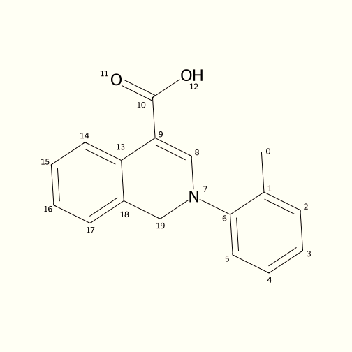 Cc1ccccc1N1C=C(C(=O)O)c2ccccc2C1